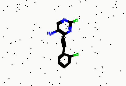 Nc1cnc(Cl)nc1C#Cc1ccccc1Cl